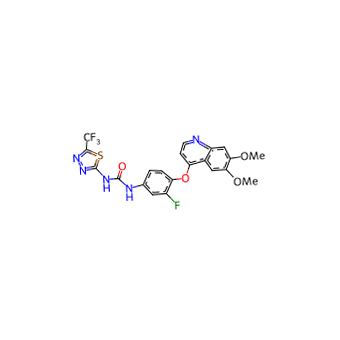 COc1cc2nccc(Oc3ccc(NC(=O)Nc4nnc(C(F)(F)F)s4)cc3F)c2cc1OC